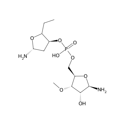 CCC1O[C@@H](N)C[C@@H]1OP(=O)(O)OC[C@H]1O[C@@H](N)[C@H](O)[C@@H]1OC